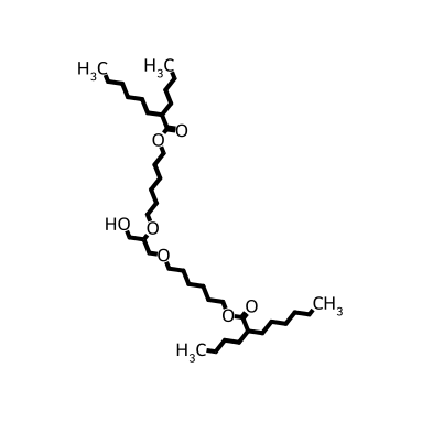 CCCCCCC(CCCC)C(=O)OCCCCCCOCC(CO)OCCCCCCOC(=O)C(CCCC)CCCCCC